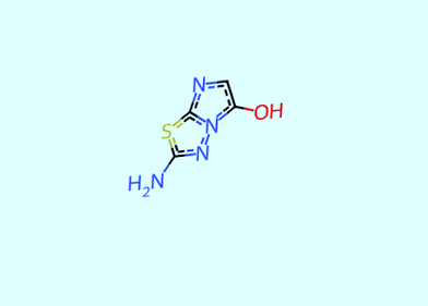 Nc1nn2c(O)cnc2s1